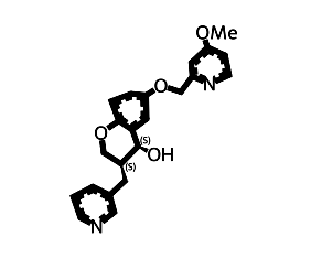 COc1ccnc(COc2ccc3c(c2)[C@@H](O)[C@@H](Cc2cccnc2)CO3)c1